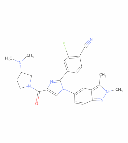 Cc1c2cc(-n3cc(C(=O)N4CC[C@H](N(C)C)C4)nc3-c3ccc(C#N)c(F)c3)ccc2nn1C